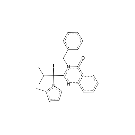 Cc1nccn1C(I)(c1nc2ccccc2c(=O)n1Cc1ccccc1)C(C)C